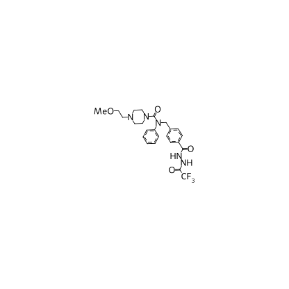 COCCN1CCN(C(=O)N(Cc2ccc(C(=O)NNC(=O)C(F)(F)F)cc2)c2ccccc2)CC1